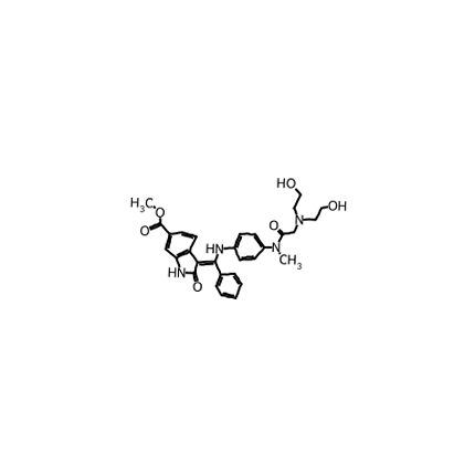 COC(=O)c1ccc2c(c1)NC(=O)C2=C(Nc1ccc(N(C)C(=O)CN(CCO)CCO)cc1)c1ccccc1